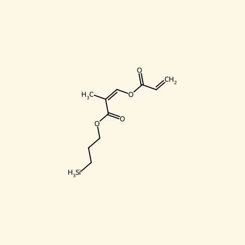 C=CC(=O)OC=C(C)C(=O)OCCC[SiH3]